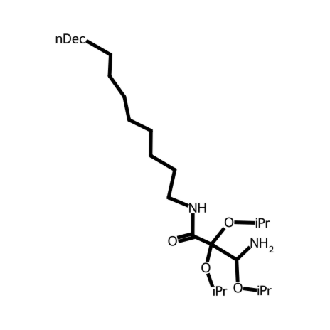 CCCCCCCCCCCCCCCCCCNC(=O)C(OC(C)C)(OC(C)C)C(N)OC(C)C